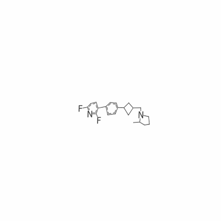 CC1CCCN1CC1CC(c2ccc(-c3ccc(F)nc3F)cc2)C1